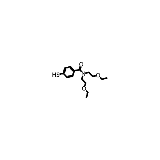 CCOCCN(CCOCC)C(=O)c1ccc(S)cc1